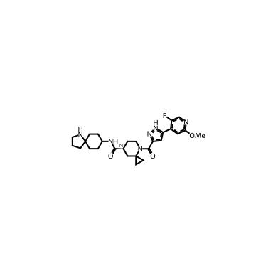 COc1cc(-c2cc(C(=O)N3CC[C@H](C(=O)NC4CCC5(CCCN5)CC4)CC34CC4)n[nH]2)c(F)cn1